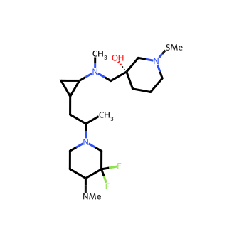 CNC1CCN(C(C)CC2CC2N(C)C[C@]2(O)CCCN(SC)C2)CC1(F)F